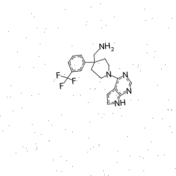 NCC1(c2cccc(C(F)(F)F)c2)CCN(c2ncnc3[nH]ccc23)CC1